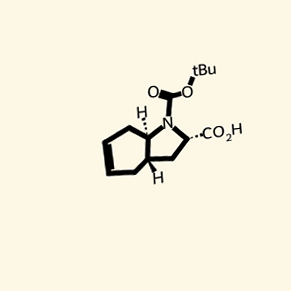 CC(C)(C)OC(=O)N1[C@@H]2CC=CC[C@H]2C[C@H]1C(=O)O